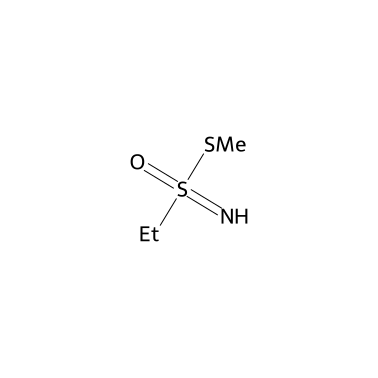 CCS(=N)(=O)SC